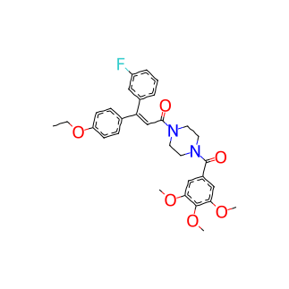 CCOc1ccc(C(=CC(=O)N2CCN(C(=O)c3cc(OC)c(OC)c(OC)c3)CC2)c2cccc(F)c2)cc1